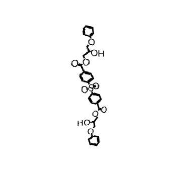 O=C(OCC(O)COc1ccccc1)c1ccc(S(=O)(=O)c2ccc(C(=O)OCC(O)COc3ccccc3)cc2)cc1